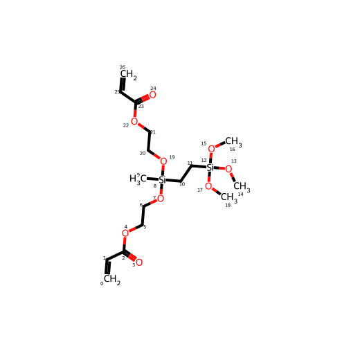 C=CC(=O)OCCO[Si](C)(CC[Si](OC)(OC)OC)OCCOC(=O)C=C